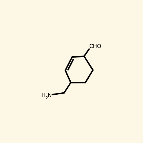 NCC1C=CC(C=O)CC1